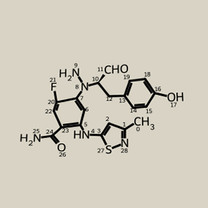 Cc1cc(Nc2cc(N(N)[C@@H](C=O)Cc3ccc(O)cc3)c(F)cc2C(N)=O)sn1